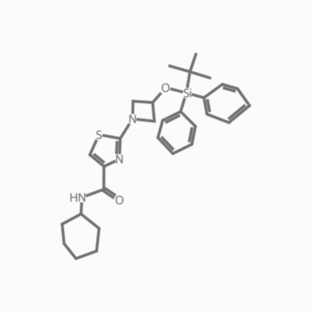 CC(C)(C)[Si](OC1CN(c2nc(C(=O)NC3CCCCC3)cs2)C1)(c1ccccc1)c1ccccc1